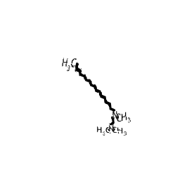 CCCCCCCCCCCCCCCCCCN(C)CCCN(C)C